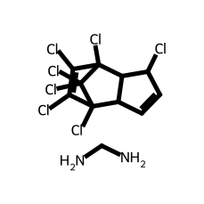 ClC1=C(Cl)C2(Cl)C3C(Cl)C=CC3C1(Cl)C2(Cl)Cl.NCN